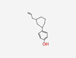 C=CCC1CCCC(c2ccc(O)cc2)C1